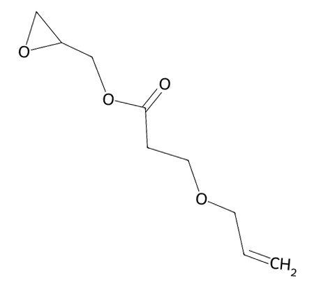 C=CCOCCC(=O)OCC1CO1